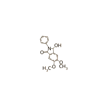 COc1cc2c(cc1OC)C(O)N(c1ccccc1)C2=O